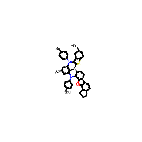 Cc1cc2c3c(c1)N(c1ccc(C(C)(C)C)cc1)c1c(ccc4c1oc1c5c(ccc14)CCC5)B3c1sc3ccc(C(C)(C)C)cc3c1N2c1ccc(C(C)(C)C)cc1